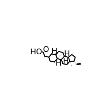 C=C[C@H]1CC[C@H]2[C@@H]3CC[C@H]4CC(CC(=O)O)CC[C@]4(C)[C@H]3CC[C@]12C